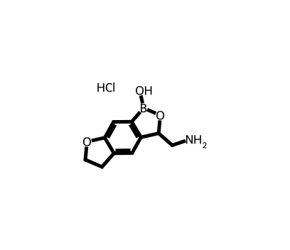 Cl.NCC1OB(O)c2cc3c(cc21)CCO3